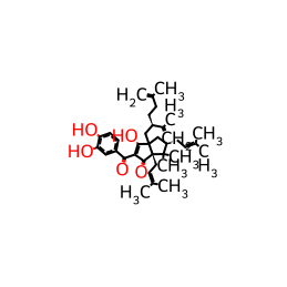 C=C(C)CC[C@H](CC12C[C@H](CC=C(C)C)C(C)(C)[C@]1(CC=C(C)C)C(=O)C(C(=O)c1ccc(O)c(O)c1)=C2O)C(=C)C